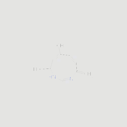 C=C1/C=C\C(C)=C/C(C)N/C=N\1